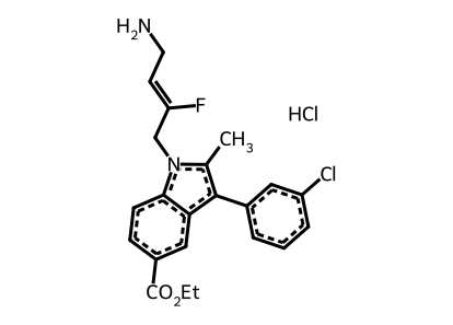 CCOC(=O)c1ccc2c(c1)c(-c1cccc(Cl)c1)c(C)n2CC(F)=CCN.Cl